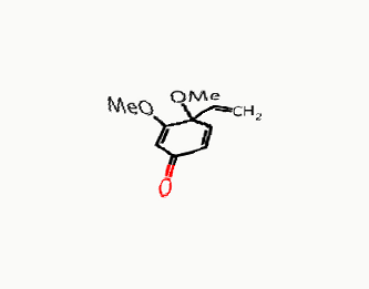 C=CC1(OC)C=CC(=O)C=C1OC